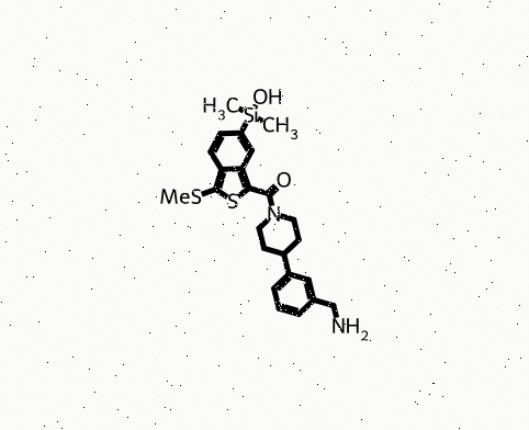 CSc1sc(C(=O)N2CCC(c3cccc(CN)c3)CC2)c2cc([Si](C)(C)O)ccc12